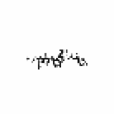 COc1cc2c(Oc3cnc4[nH]c(C)cc4c3F)ccnc2cc1OCCCC(=O)N1CCOCC1